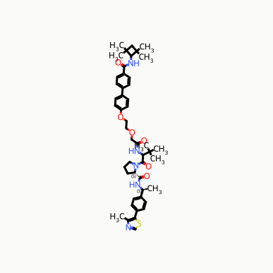 Cc1ncsc1-c1ccc([C@H](C)NC(=O)[C@@H]2CCCN2C(=O)C(NC(=O)COCCOc2ccc(-c3ccc(C(=O)NC4C(C)(C)CC4(C)C)cc3)cc2)C(C)(C)C)cc1